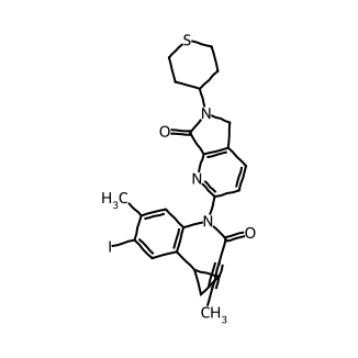 CC#CC(=O)N(c1ccc2c(n1)C(=O)N(C1CCSCC1)C2)c1cc(C)c(I)cc1C1CC1